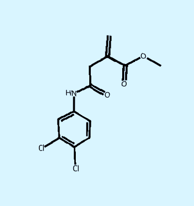 C=C(CC(=O)Nc1ccc(Cl)c(Cl)c1)C(=O)OC